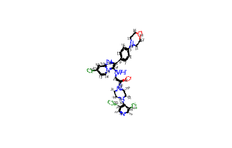 O=C(CNc1c(-c2ccc(N3CCOCC3)cc2)nc2cc(Cl)ccn12)N1CCN(c2c(Cl)cncc2Cl)CC1